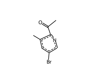 CC(=O)c1ncc(Br)cc1C